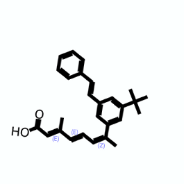 C/C(=C/C=C/C(C)=C/C(=O)O)c1cc(C=Cc2ccccc2)cc(C(C)(C)C)c1